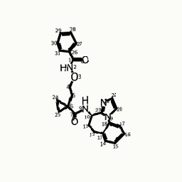 O=C(NOCCC1(C(=O)N[C@@H]2CCc3ccccc3-n3ccnc32)CC1)c1ccccc1